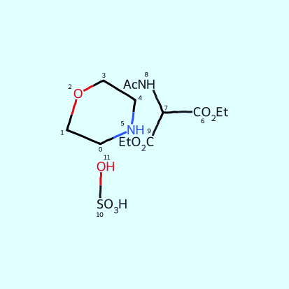 C1COCCN1.CCOC(=O)C(NC(C)=O)C(=O)OCC.O=S(=O)(O)O